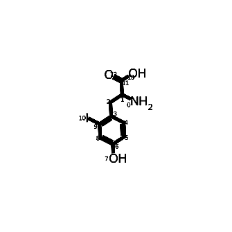 NC(Cc1ccc(O)cc1I)C(=O)O